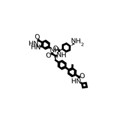 Cc1cc(C(=O)NC2CCC2)ccc1-c1ccc(C[C@H](NC(=O)[C@H]2CC[C@H](CN)CC2)C(=O)Nc2ccc3c(=O)[nH][nH]c3c2)cc1